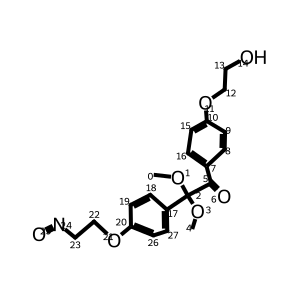 COC(OC)(C(=O)c1ccc(OCCO)cc1)c1ccc(OCCN=O)cc1